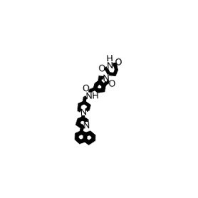 O=C1CCC(N2Cc3cc(C(=O)NCC4CCN(c5ccc(-c6cccc7ccccc67)nc5)CC4)ccc3C2=O)C(=O)N1